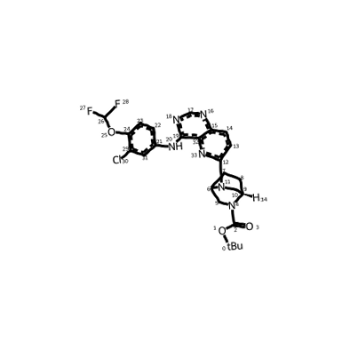 CC(C)(C)OC(=O)N1CC2CC[C@H]1CN2c1ccc2ncnc(Nc3ccc(OC(F)F)c(Cl)c3)c2n1